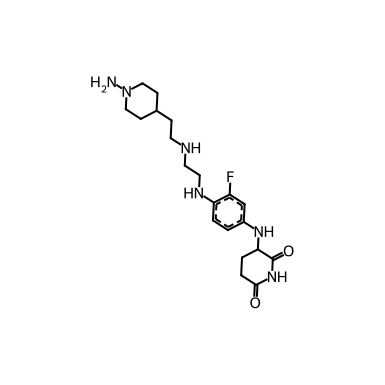 NN1CCC(CCNCCNc2ccc(NC3CCC(=O)NC3=O)cc2F)CC1